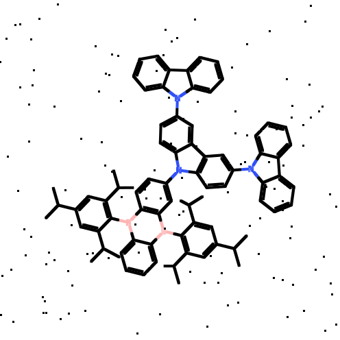 CC(C)c1cc(C(C)C)c(B2c3ccccc3B(c3c(C(C)C)cc(C(C)C)cc3C(C)C)c3cc(-n4c5ccc(-n6c7ccccc7c7ccccc76)cc5c5cc(-n6c7ccccc7c7ccccc76)ccc54)ccc32)c(C(C)C)c1